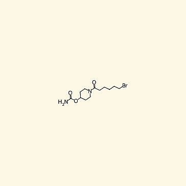 NC(=O)OC1CCN(C(=O)CCCCCBr)CC1